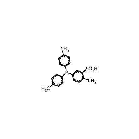 Cc1ccc(P(c2ccc(C)cc2)c2ccc(C)c(S(=O)(=O)O)c2)cc1